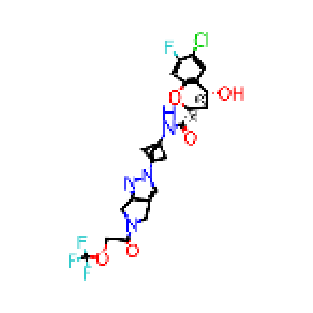 O=C(NC12CC(n3cc4c(n3)CN(C(=O)COC(F)(F)F)C4)(C1)C2)[C@H]1C[C@@H](O)c2cc(Cl)c(F)cc2O1